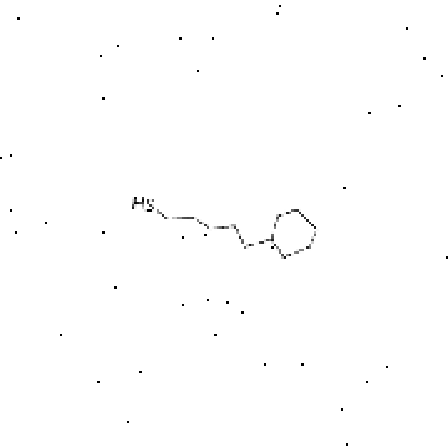 SCCCCCC1CCCCC1